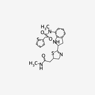 CNC(=O)CC1CN=C(C2Cc3cccc(N(C)S(=O)(=O)c4cccs4)c3N2)S1